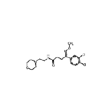 CON=C(CCC(=O)NCCN1CCOCC1)c1ccc(Cl)c(Cl)c1